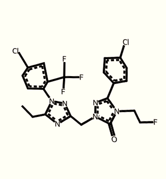 CCc1nc(Cn2nc(-c3ccc(Cl)cc3)n(CCF)c2=O)nn1-c1ccc(Cl)cc1C(F)(F)F